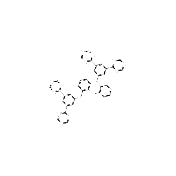 c1ccc(Sc2ccccc2Cc2cc(-c3ncncn3)cc(-c3ncncn3)c2)c(Cc2cc(-c3ncncn3)cc(-c3ncncn3)c2)c1